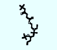 CCCC(CC(C)(C)N(CC)CCOC(=O)CCC(=O)CC(C)(C)C)OC(C)(C)C